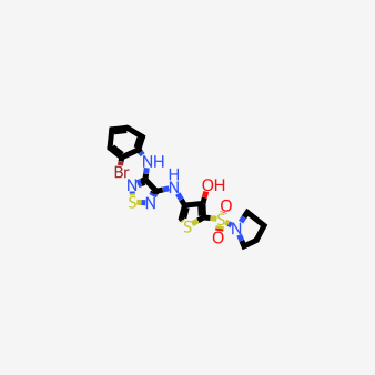 O=S(=O)(c1scc(Nc2nsnc2Nc2ccccc2Br)c1O)N1CCCC1